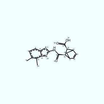 Cc1ccc2sc(NC(=O)[C@@H]3C4C=CC(C4)[C@@H]3C(=O)O)nc2c1C